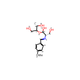 COc1ccc(/C=N/[C@@H](CO)C(O)OC(CO)[C@H](C)O)cc1